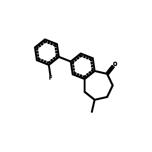 CC1CCC(=O)c2ccc(-c3ccccc3F)cc2C1